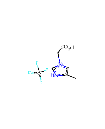 Cc1c[n+](CC(=O)O)c[nH]1.F[B-](F)(F)F